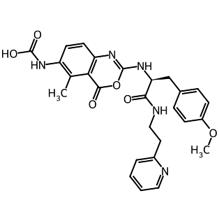 COc1ccc(C[C@H](Nc2nc3ccc(NC(=O)O)c(C)c3c(=O)o2)C(=O)NCCc2ccccn2)cc1